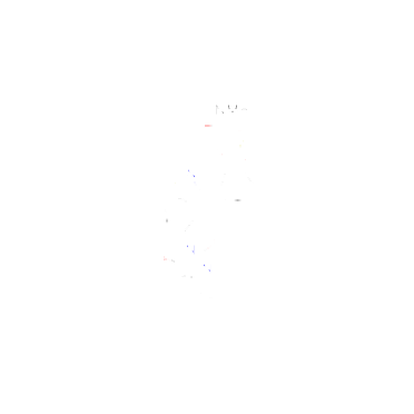 CNC(=O)C(Oc1ccc(C)cc1-c1nsc2ccc(-n3c(=O)cc(C(F)(F)F)n(C)c3=O)cc12)S(C)(=O)=O